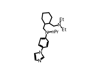 CCCN(CC1CCCCC1CN(CC)CC)c1ccc(-n2ccnc2)cc1